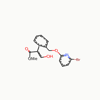 COC(=O)/C(=C/O)c1ccccc1COc1cccc(Br)n1